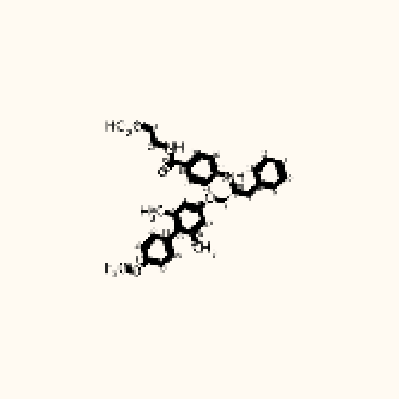 Cc1cc(OC[C@@H](Cc2ccccc2)Nc2ccc(C(=O)NCCC(=O)O)cc2)cc(C)c1-c1ccc(OC(F)(F)F)cc1